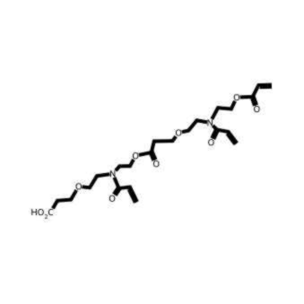 C=CC(=O)OCCN(CCOCCC(=O)OCCN(CCOCCC(=O)O)C(=O)C=C)C(=O)C=C